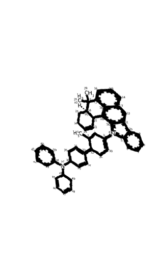 CC1CC(n2c3ccccc3c3cc4cccc5c4c(c32)C2C=CCC[C@H]2C5(C)C)=CCC1C1=CCC(N(c2ccccc2)C2C=CC=CC2)C=C1